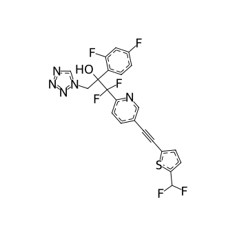 OC(Cn1cnnn1)(c1ccc(F)cc1F)C(F)(F)c1ccc(C#Cc2ccc(C(F)F)s2)cn1